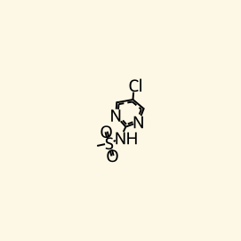 CS(=O)(=O)Nc1ncc(Cl)cn1